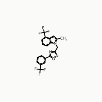 Cc1cc2c(C(F)(F)F)cccc2n1Cc1noc(-c2cccc(C(F)(F)F)c2)n1